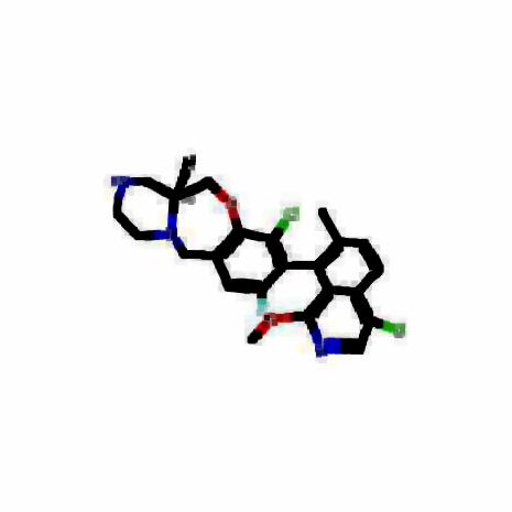 COc1ncc(Cl)c2ccc(C)c(-c3c(F)cc4c(c3Cl)OC[C@H]3CNCCN3C4)c12